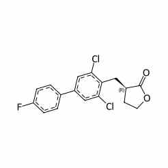 O=C1OCC[C@H]1Cc1c(Cl)cc(-c2ccc(F)cc2)cc1Cl